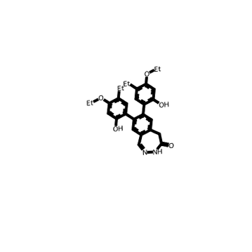 CCOc1cc(O)c(-c2cc3c(cc2-c2cc(CC)c(OCC)cc2O)CC(=O)NN=C3)cc1CC